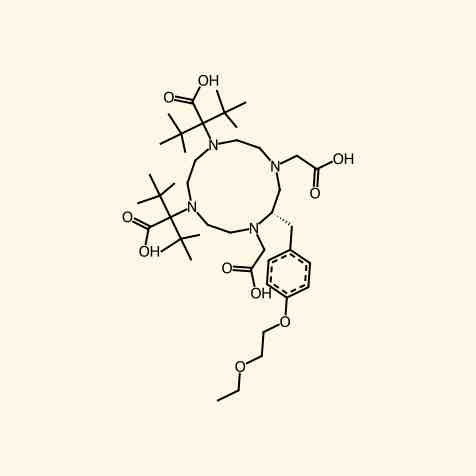 CCOCCOc1ccc(C[C@H]2CN(CC(=O)O)CCN(C(C(=O)O)(C(C)(C)C)C(C)(C)C)CCN(C(C(=O)O)(C(C)(C)C)C(C)(C)C)CCN2CC(=O)O)cc1